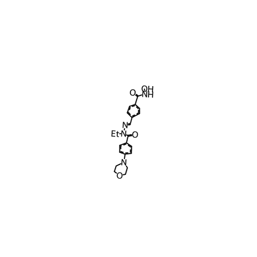 CCN(/N=C/c1ccc(C(=O)NO)cc1)C(=O)c1ccc(N2CCOCC2)cc1